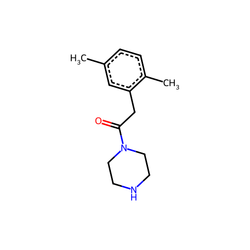 Cc1ccc(C)c(CC(=O)N2CCNCC2)c1